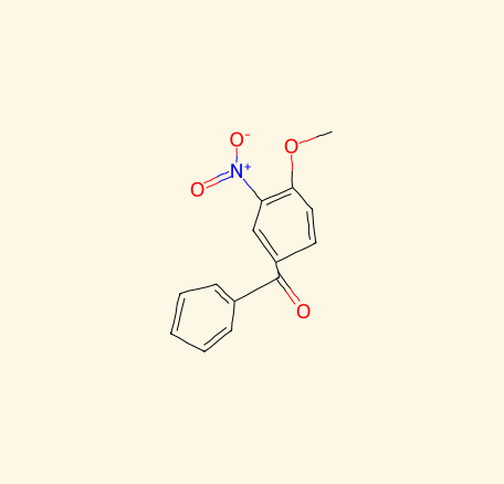 COc1ccc(C(=O)c2ccccc2)cc1[N+](=O)[O-]